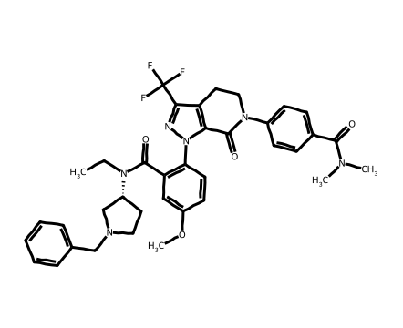 CCN(C(=O)c1cc(OC)ccc1-n1nc(C(F)(F)F)c2c1C(=O)N(c1ccc(C(=O)N(C)C)cc1)CC2)[C@@H]1CCN(Cc2ccccc2)C1